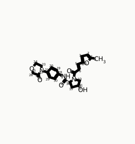 Cc1ccc(C=CC(=O)N2C[C@H](O)C[C@@H]2C(=O)Nc2ccc(N3CCOCC3=O)cc2)o1